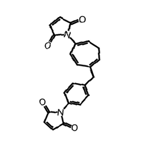 O=C1C=CC(=O)N1C1=CCC=C(Cc2ccc(N3C(=O)C=CC3=O)cc2)C=C1